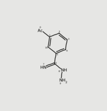 CC(=O)c1cccc(C(=N)NN)c1